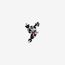 C=C/C(=C\C=C(/C)P(=O)(CC)CC)n1ccn(-c2c3c(nn2-c2cc(C)c(F)c(C)c2)CCN(C(=O)c2cc4cc(C5CCOCC5)ccc4n2[C@@]2(c4noc(=O)[nH]4)C[C@@H]2C)[C@H]3C)c1=O